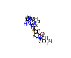 CC(C(=O)O)N1CCc2sc(-c3ccnc(Nc4ccnn4C)n3)cc2C1=O